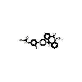 CN1C(=O)c2ccccc2C(C)(N2CCN(c3ccc(NC(=O)C(C)(C)C)cc3F)CC2)c2ccccc21